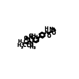 CN(N=O)c1nc(C2=CCC(NC(=O)c3ncco3)CC2)ccc1NCC(C)(C)C